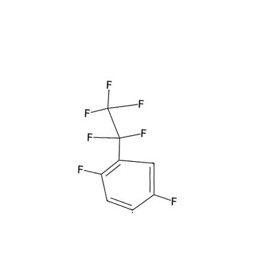 Fc1[c]cc(F)c(C(F)(F)C(F)(F)F)c1